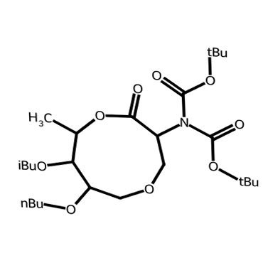 CCCCOC1COCC(N(C(=O)OC(C)(C)C)C(=O)OC(C)(C)C)C(=O)OC(C)C1OCC(C)C